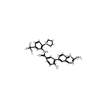 Nc1ncc2cc(-c3cc(C(=O)Nc4cc(C(F)(F)F)ccc4N4CCCC4)ccc3Cl)ccc2n1